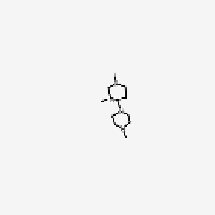 C[C@H]1CN(I)CCC1N1CCN(C)CC1